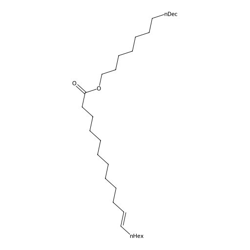 CCCCCCC=CCCCCCCCCCC(=O)OCCCCCCCCCCCCCCCCC